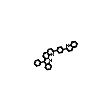 c1ccc(-c2c3ccccc3nc3c2ccc2ccc(-c4ccc(-c5ccc6ccccc6n5)cc4)nc23)cc1